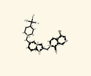 O=c1c2cncc(Br)c2ccn1Cc1cn2cc(CN3CCC(C(F)(F)F)CC3)ccc2n1